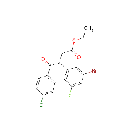 CCOC(=O)CC(C(=O)c1ccc(Cl)cc1)c1cc(F)cc(Br)c1